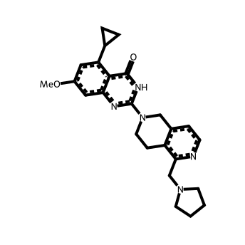 COc1cc(C2CC2)c2c(=O)[nH]c(N3CCc4c(ccnc4CN4CCCC4)C3)nc2c1